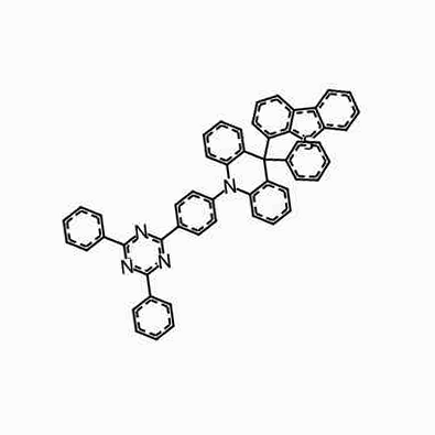 c1ccc(-c2nc(-c3ccccc3)nc(-c3ccc(N4c5ccccc5C(c5ccccc5)(c5cccc6c5sc5ccccc56)c5ccccc54)cc3)n2)cc1